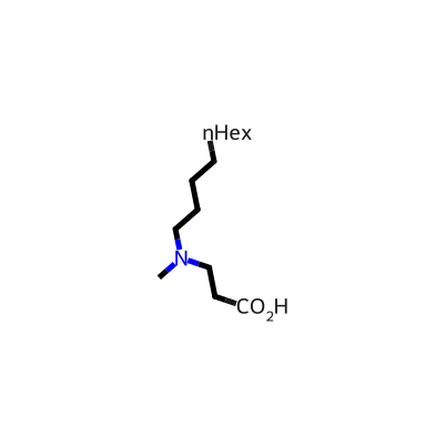 CCCCCCCCCCN(C)CCC(=O)O